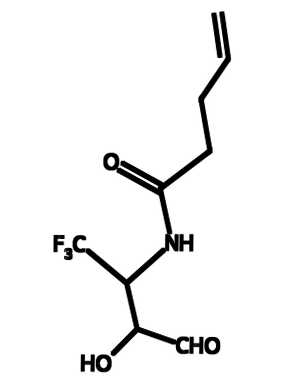 C=CCCC(=O)NC(C(O)C=O)C(F)(F)F